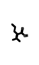 CCCC(C(=O)O)=C(C)C